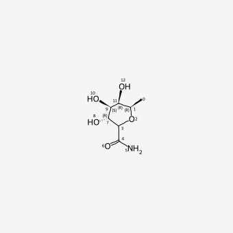 C[C@H]1OC(C(N)=O)[C@H](O)[C@@H](O)[C@H]1O